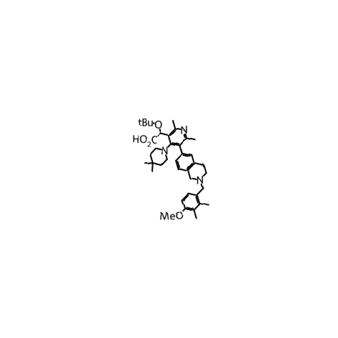 COc1ccc(CN2CCc3cc(-c4c(C)nc(C)c([C@H](OC(C)(C)C)C(=O)O)c4N4CCC(C)(C)CC4)ccc3C2)c(C)c1C